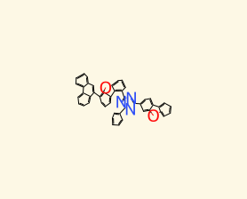 c1ccc(-c2nc(-c3ccc4c(c3)oc3ccccc34)nc(-c3cccc4oc5c(-c6cc7ccccc7c7ccccc67)cccc5c34)n2)cc1